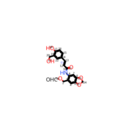 O=COCc1cc2c(cc1NC(=O)/C=C/c1ccc(O)c(CO)c1)OCO2